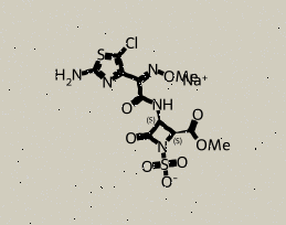 CON=C(C(=O)N[C@@H]1C(=O)N(S(=O)(=O)[O-])[C@@H]1C(=O)OC)c1nc(N)sc1Cl.[Na+]